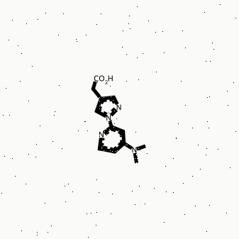 CN(C)c1ccnc(-n2cc(CC(=O)O)cn2)c1